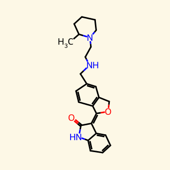 CC1CCCCN1CCNCc1ccc2c(c1)CO/C2=C1/C(=O)Nc2ccccc21